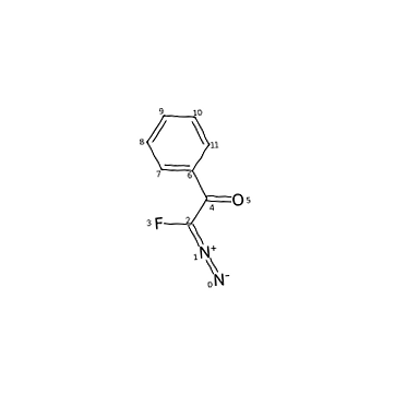 [N-]=[N+]=C(F)C(=O)c1ccccc1